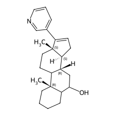 C[C@]12CCCCC1C(O)C[C@@H]1C2CC[C@]2(C)C(c3cccnc3)=CC[C@@H]12